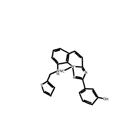 N#C[N+]12N=C(c3cccc(O)c3)N=C1C=Cc1cccc(NCc3cccs3)c12